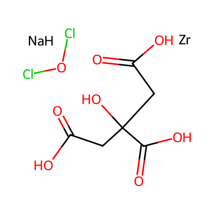 ClOCl.O=C(O)CC(O)(CC(=O)O)C(=O)O.[NaH].[Zr]